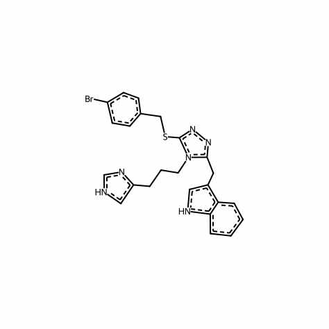 Brc1ccc(CSc2nnc(Cc3c[nH]c4ccccc34)n2CCCc2c[nH]cn2)cc1